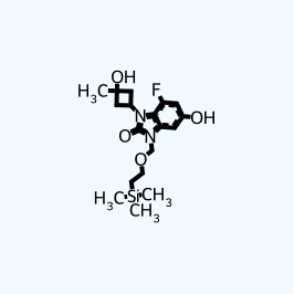 CC1(O)CC(n2c(=O)n(COCC[Si](C)(C)C)c3cc(O)cc(F)c32)C1